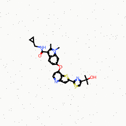 Cc1c(C(=O)NCC2CC2)c2ccc(Oc3ccnc4cc(-c5nc(C(C)(C)O)cs5)sc34)cc2n1C